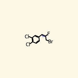 F/C(=C/c1ccc(Cl)c(Cl)c1)CBr